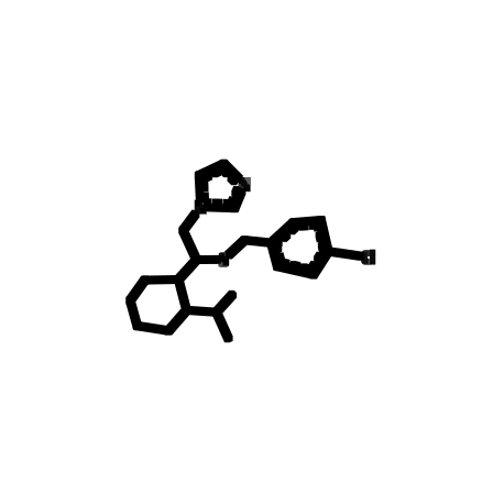 CC(C)C1CCCCC1C(Cn1ccnc1)SCc1ccc(Cl)cc1